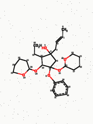 C/C=C/CC1(O)CC(Oc2ccccc2)(OC2CCCCO2)C(OC2CCCCO2)C1CC(=O)O